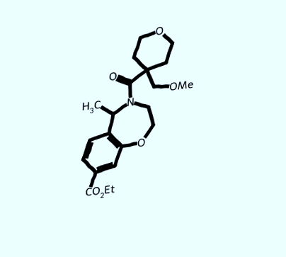 CCOC(=O)c1ccc2c(c1)OCCN(C(=O)C1(COC)CCOCC1)C2C